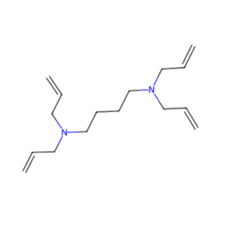 C=CCN(CC=C)CCCCN(CC=C)CC=C